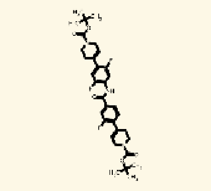 CC(C)(C)OC(=O)N1CC=C(c2ccc(C(=O)Nc3cc(F)c(C4=CCN(C(=O)OC(C)(C)C)CC4)cc3F)cc2F)CC1